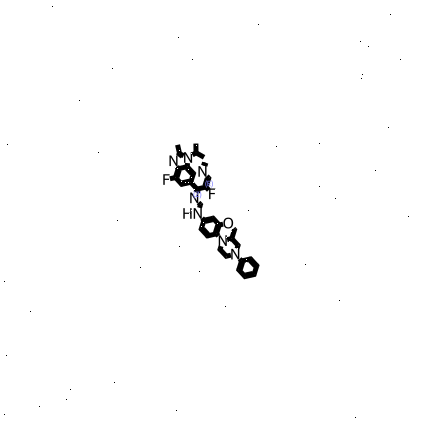 C=N/C=C(F)\C(=N/CNc1ccc2c(c1)OCC1CN(c3ccccc3)CCN21)c1cc(F)c2nc(C)n(C(C)C)c2c1